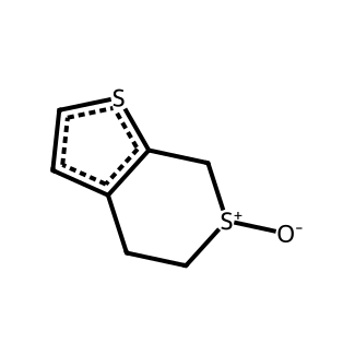 [O-][S+]1CCc2ccsc2C1